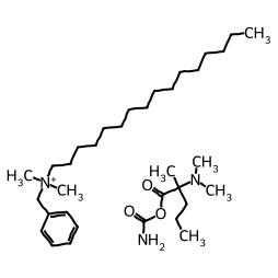 CCCC(C)(C(=O)OC(N)=O)N(C)C.CCCCCCCCCCCCCCCC[N+](C)(C)Cc1ccccc1